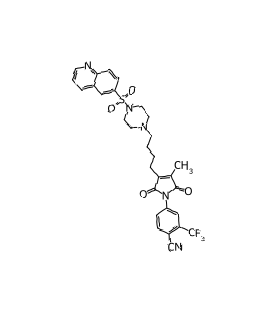 CC1=C(CCCCN2CCN(S(=O)(=O)c3ccc4ncccc4c3)CC2)C(=O)N(c2ccc(C#N)c(C(F)(F)F)c2)C1=O